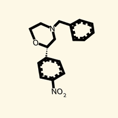 O=[N+]([O-])c1ccc([C@H]2CN(Cc3ccccc3)CCO2)cc1